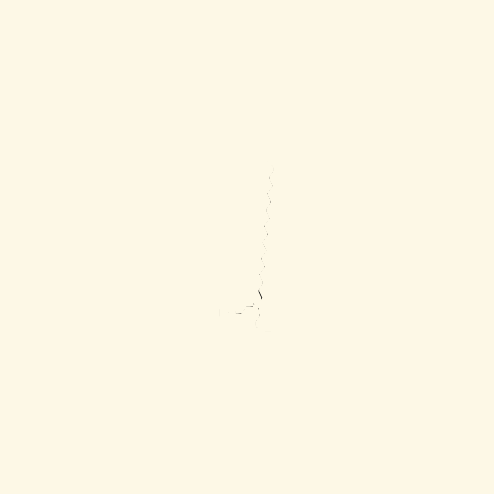 CCCCCCCCCCCCCCCCC=CN(CCO)CCO